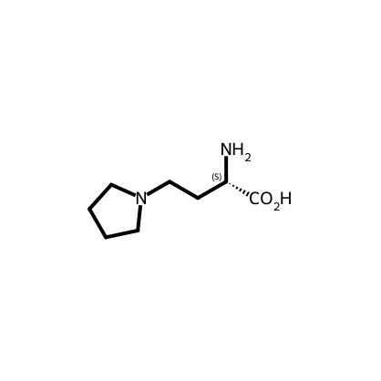 N[C@@H](CCN1CCCC1)C(=O)O